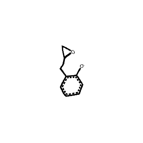 [O]c1ccccc1CC1CO1